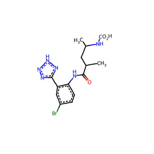 CC(CC(C)C(=O)Nc1ccc(Br)cc1-c1nn[nH]n1)NC(=O)O